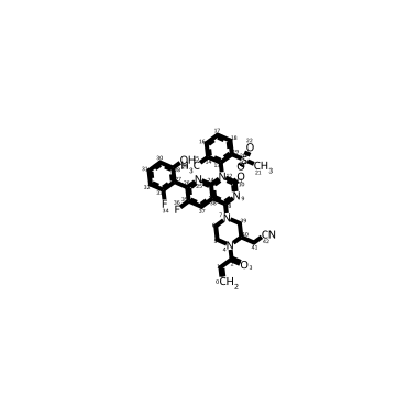 C=CC(=O)N1CCN(c2nc(=O)n(-c3c(C)cccc3S(C)(=O)=O)c3nc(-c4c(O)cccc4F)c(F)cc23)CC1CC#N